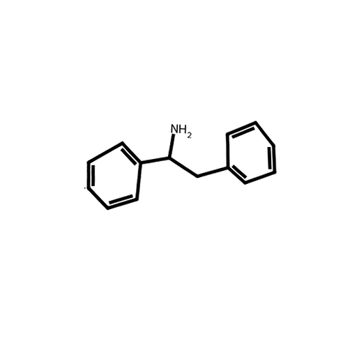 NC(Cc1ccccc1)c1cc[c]cc1